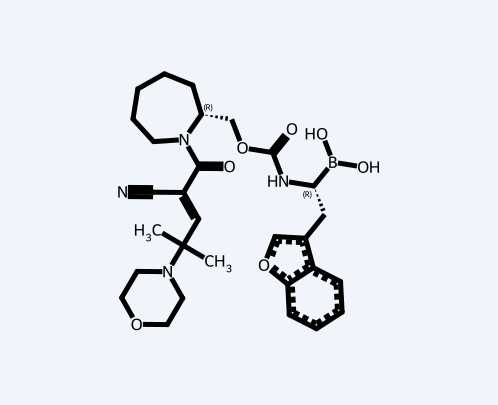 CC(C)(C=C(C#N)C(=O)N1CCCCC[C@@H]1COC(=O)N[C@@H](Cc1coc2ccccc12)B(O)O)N1CCOCC1